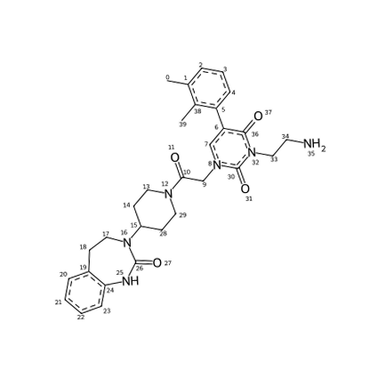 Cc1cccc(-c2cn(CC(=O)N3CCC(N4CCc5ccccc5NC4=O)CC3)c(=O)n(CCN)c2=O)c1C